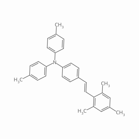 Cc1ccc(N(c2ccc(C)cc2)c2ccc(/C=C/c3c(C)cc(C)cc3C)cc2)cc1